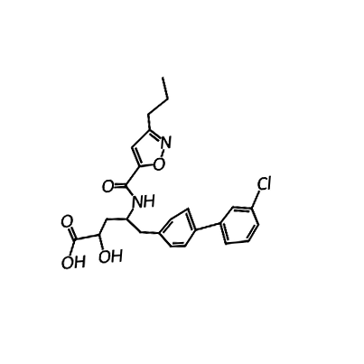 CCCc1cc(C(=O)NC(Cc2ccc(-c3cccc(Cl)c3)cc2)CC(O)C(=O)O)on1